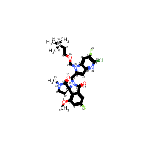 COc1cc(F)cc2c1[C@@]1(CCN(C)C1=O)N(Cc1cc3nc(Cl)c(F)cc3n1COCC[Si](C)(C)C)C2=O